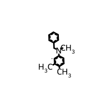 Cc1[c]c(N(C)Cc2ccccc2)ccc1C